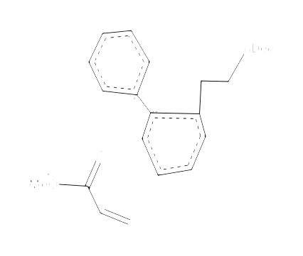 C=CC(=O)OC.CCCCCCCCCCCCc1ccccc1-c1ccccc1